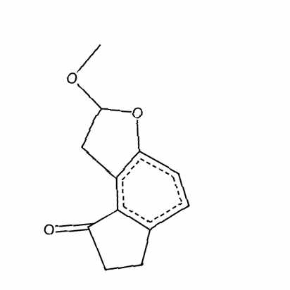 COC1Cc2c(ccc3c2C(=O)CC3)O1